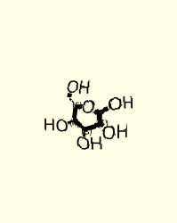 OC[C@@H]1OC(O)[C@@H](O)[C@@H](O)[C@H]1O